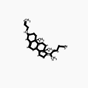 C=CCOC1CC[C@@]2(C)C(=CCC3C2CC[C@@]2(C)C3CC[C@@H]2C(C)CCCC(C)C)C1